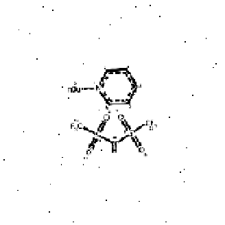 CCCC[n+]1ccccc1.O=S(=O)(NS(=O)(=O)C(F)(F)F)C(F)(F)F